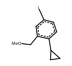 COCc1cc(I)ccc1C1CC1